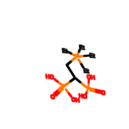 CCP(CC)(CC)(CC)CC(P(=O)(O)O)P(=O)(O)O